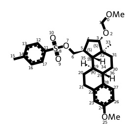 COCO[C@H]1C[C@H](COS(=O)(=O)c2ccc(C)cc2)[C@H]2[C@@H]3CCc4cc(OC)ccc4[C@H]3CC[C@@]21C